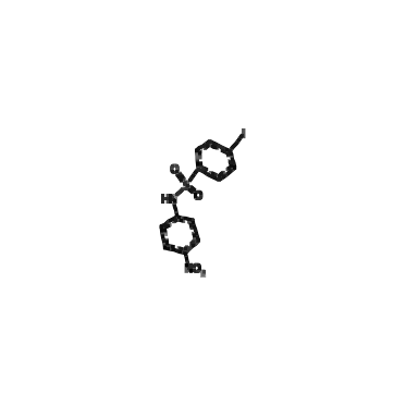 O=[N+]([O-])c1ccc(NS(=O)(=O)c2ccc(I)cc2)cc1